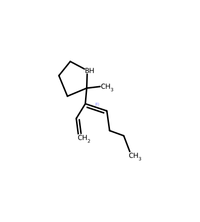 C=C/C(=C\CCC)C1(C)BCCC1